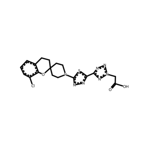 O=C(O)Cn1nnc(-c2nnc(N3CCC4(CCc5cccc(Cl)c5O4)CC3)s2)n1